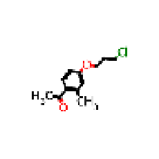 CC(=O)c1ccc(OCCCCl)cc1C